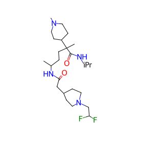 CC(C)NC(=O)C(C)(CCC(C)NC(=O)CC1CCN(CC(F)F)CC1)C1CCN(C)CC1